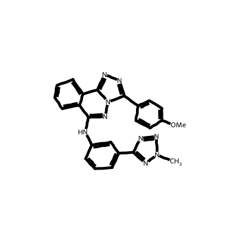 COc1ccc(-c2nnc3c4ccccc4c(Nc4cccc(-c5nnn(C)n5)c4)nn23)cc1